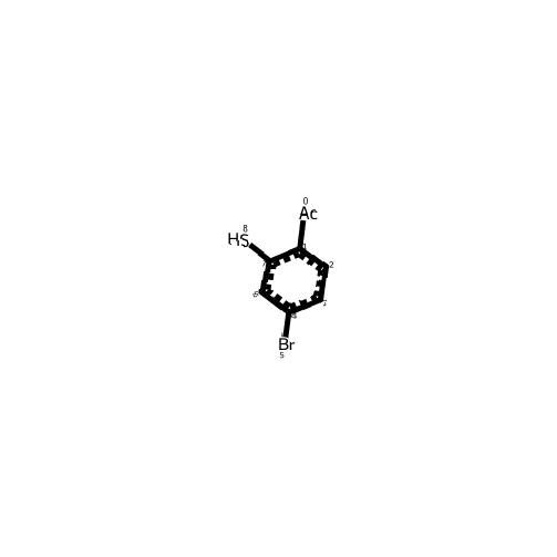 CC(=O)c1ccc(Br)cc1S